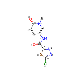 CCn1cc(NC(=O)c2nnc(Cl)s2)ccc1=O